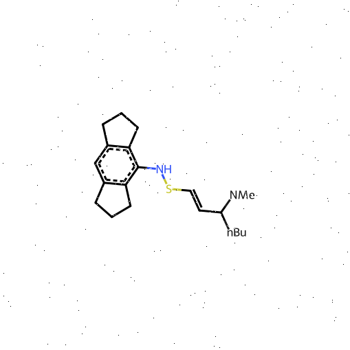 CCCCC(/C=C/SNc1c2c(cc3c1CCC3)CCC2)NC